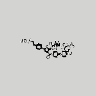 CCNC(=O)Nc1sc(-c2ccc(CCC(=O)O)cc2)cc1C(=O)N1CCC(N2CCCC3(C2)CC(C)(C)OC3=O)CC1